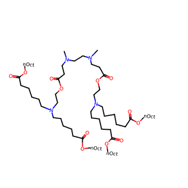 CCCCCCCCOC(=O)CCCCCN(CCCCCC(=O)OCCCCCCCC)CCOC(=O)CCN(C)CCN(C)CCC(=O)OCCN(CCCCCC(=O)OCCCCCCCC)CCCCCC(=O)OCCCCCCCC